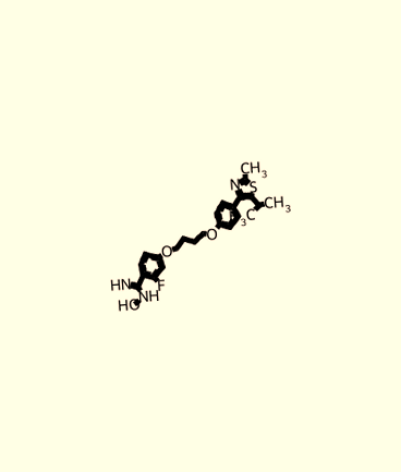 Cc1nc(-c2ccc(OCCCCOc3ccc(C(=N)NO)c(F)c3)cc2)c(C(C)C)s1